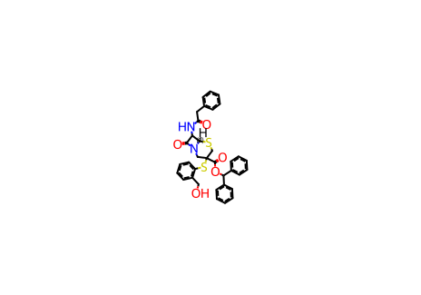 O=C(Cc1ccccc1)NC1C(=O)N2CC(Sc3ccccc3CO)(C(=O)OC(c3ccccc3)c3ccccc3)CS[C@H]12